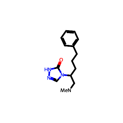 CNCC(CCCc1ccccc1)n1cn[nH]c1=O